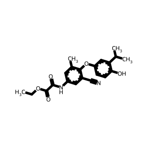 CCOC(=O)C(=O)Nc1cc(C)c(Oc2ccc(O)c(C(C)C)c2)c(C#N)c1